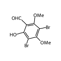 COc1c(Br)c(O)c(C=O)c(OC)c1Br